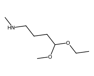 CCOC(CCCNC)OC